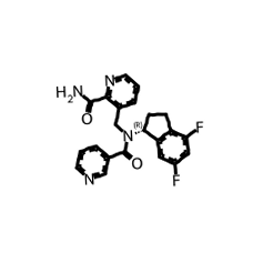 NC(=O)c1ncccc1CN(C(=O)c1cccnc1)[C@@H]1CCc2c(F)cc(F)cc21